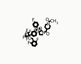 CC(=O)N1CCC(C(=O)N2CC[C@@](c3ccc(C(OCc4c(F)cccc4F)(C(F)(F)F)C(F)(F)F)cc3)(S(=O)(=O)c3ccc(F)cc3)C2)CC1